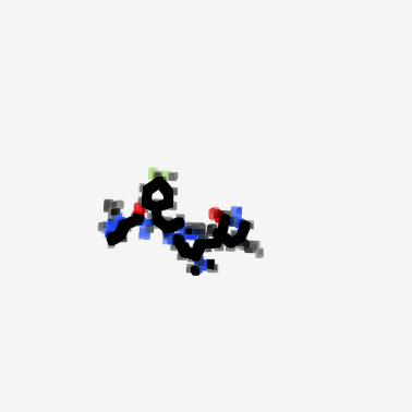 CCn1nccc1C(=O)N[C@H](c1cn2nc(CC3(C(=O)O)C[C@@H](C(F)(F)F)CNC3=O)c(N(C)C)cc2n1)C1CCC(F)(F)CC1